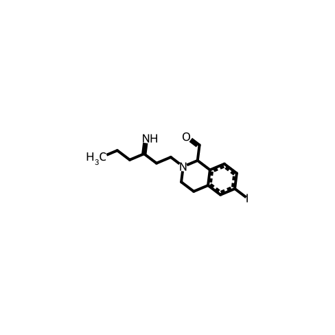 CCCC(=N)CCN1CCc2cc(I)ccc2C1C=O